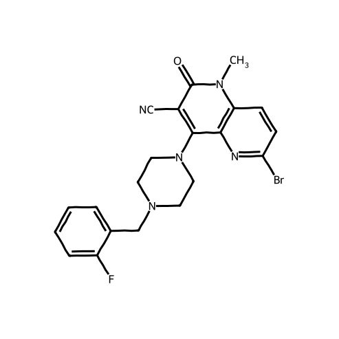 Cn1c(=O)c(C#N)c(N2CCN(Cc3ccccc3F)CC2)c2nc(Br)ccc21